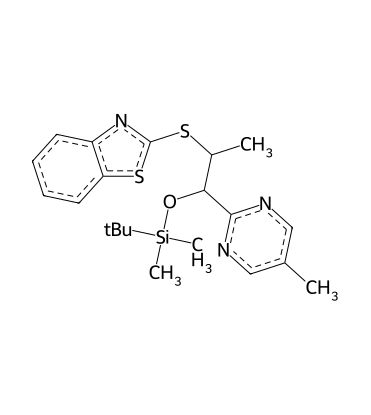 Cc1cnc(C(O[Si](C)(C)C(C)(C)C)C(C)Sc2nc3ccccc3s2)nc1